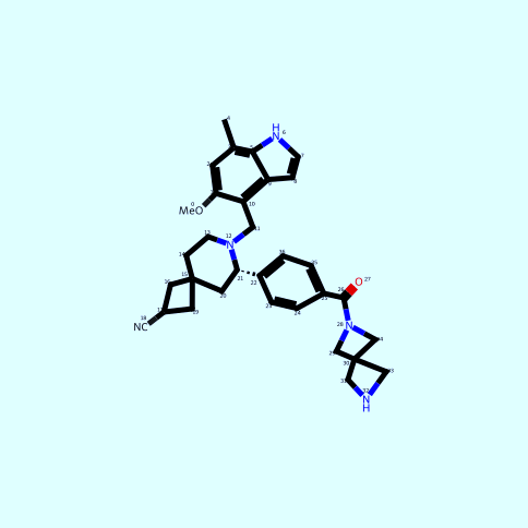 COc1cc(C)c2[nH]ccc2c1CN1CCC2(CC(C#N)C2)C[C@H]1c1ccc(C(=O)N2CC3(CNC3)C2)cc1